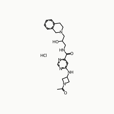 CC(=O)N1CC(Nc2cc(C(=O)NCC(O)CN3CCc4ccccc4C3)ncn2)C1.Cl